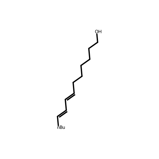 CCCCC=CC=CCCCCCCO